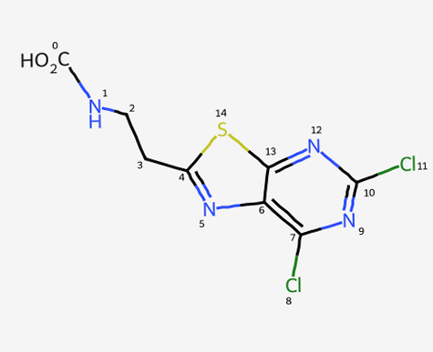 O=C(O)NCCc1nc2c(Cl)nc(Cl)nc2s1